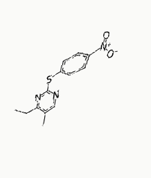 CCc1nc(Sc2ccc([N+](=O)[O-])cc2)ncc1C